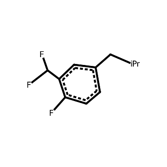 CC(C)Cc1ccc(F)c(C(F)F)c1